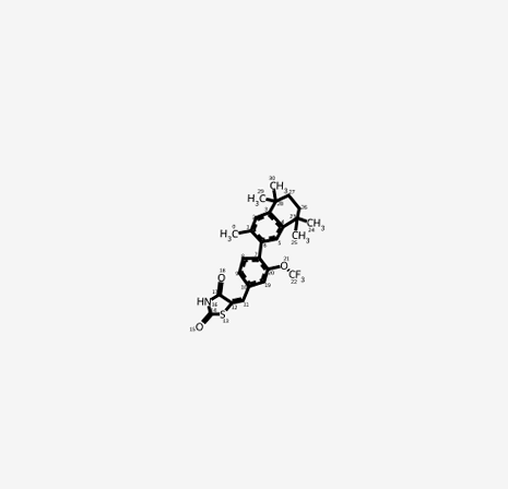 Cc1cc2c(cc1-c1ccc(C=C3SC(=O)NC3=O)cc1OC(F)(F)F)C(C)(C)CCC2(C)C